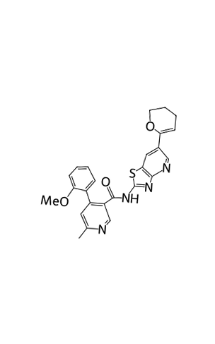 COc1ccccc1-c1cc(C)ncc1C(=O)Nc1nc2ncc(C3=CCCCO3)cc2s1